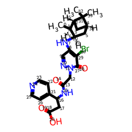 C[C@H]1[C@H]2C[C@H](C[C@H]1Nc1cnn(CC(=O)NC(CC(=O)O)c3ccncc3)c(=O)c1Br)C2(C)C